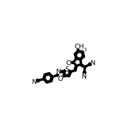 Cc1ccc2c(c1)C(=O)/C(=C\c1cc3oc(-c4ccc(C#N)cc4)nc3s1)C2=C(C#N)C#N